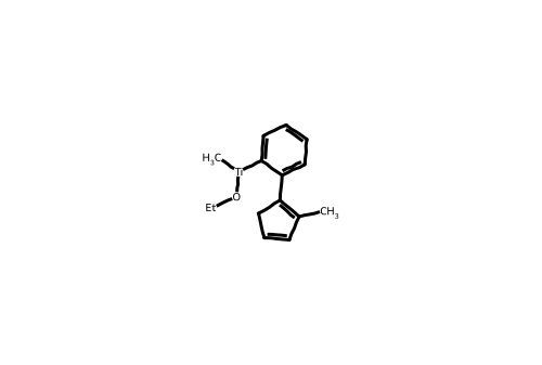 CC[O][Ti]([CH3])[c]1ccccc1C1=C(C)C=CC1